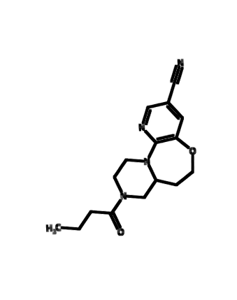 CCCC(=O)N1CCN2c3ncc(C#N)cc3OCCC2C1